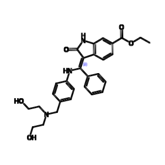 CCOC(=O)c1ccc2c(c1)NC(=O)/C2=C(\Nc1ccc(CN(CCO)CCO)cc1)c1ccccc1